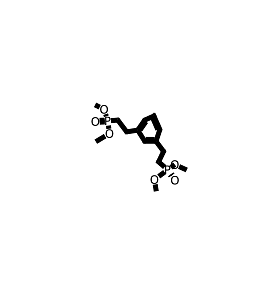 COP(=O)(CCc1c[c]cc(CCP(=O)(OC)OC)c1)OC